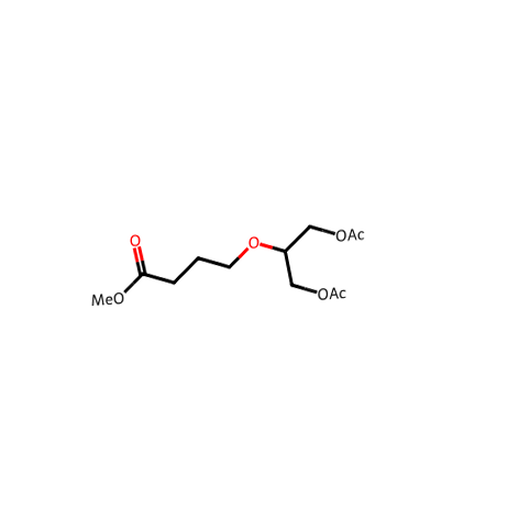 COC(=O)CCCOC(COC(C)=O)COC(C)=O